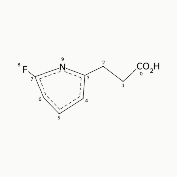 O=C(O)CCc1cccc(F)n1